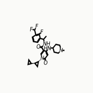 CC(NC(=O)c1cn([C@@H]2C[C@H]2C2CC2)c(=O)cc1NC1CCN(C)CC1)c1cccc(C(F)F)c1F